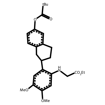 CCOC(=O)CNc1cc(OC)c(OC)cc1C1CCc2cc(OC(=O)C(C)(C)C)ccc2C1